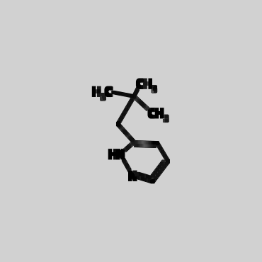 CC(C)(C)CC1=CC=C=NN1